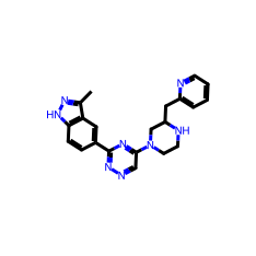 Cc1n[nH]c2ccc(-c3nncc(N4CCNC(Cc5ccccn5)C4)n3)cc12